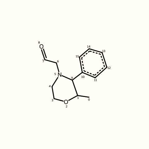 CC1OCCN(C[C]=O)C1c1ccccc1